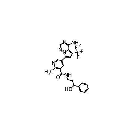 Cc1ncc(-c2cc(C(F)(F)F)c3c(N)ncnn23)cc1C(=O)NCCC(O)c1ccccc1